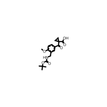 COc1ccc(C(=O)C2(C(=O)O)CC2)cc1CNC(=O)OC(C)(C)C